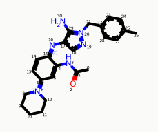 CC(=O)NC1=CC(=[N+]2CCCCC2)C=C/C1=N/c1cnn(Cc2ccc(C)cc2)c1N